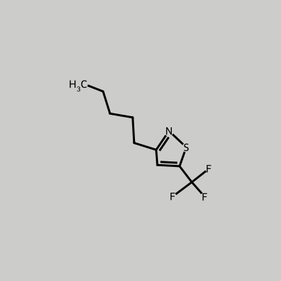 CCCCCc1cc(C(F)(F)F)sn1